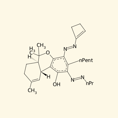 CCCCCc1c(/N=N/CCC)c(O)c2c(c1/N=N/C1=CCC1)OC(C)(C)[C@@H]1CCC(C)=C[C@@H]21